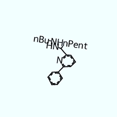 CCCCCC(NNCCCC)c1cccc(-c2ccccc2)n1